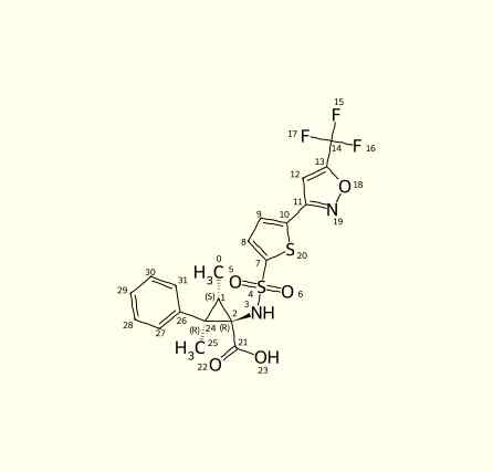 C[C@@H]1[C@](NS(=O)(=O)c2ccc(-c3cc(C(F)(F)F)on3)s2)(C(=O)O)[C@@]1(C)c1ccccc1